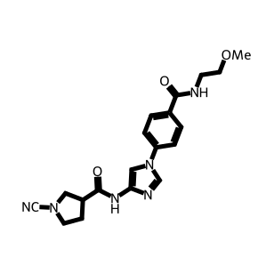 COCCNC(=O)c1ccc(-n2cnc(NC(=O)C3CCN(C#N)C3)c2)cc1